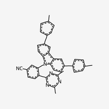 Cc1ccc(-c2ccc3c(c2)c2cc(-c4ccc(C)cc4)ccc2n3-c2cc(C#N)ccc2-c2nc(C)nc(C)n2)cc1